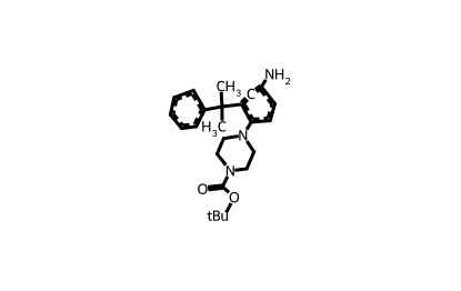 CC(C)(C)OC(=O)N1CCN(c2ccc(N)cc2C(C)(C)c2ccccc2)CC1